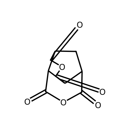 O=C1OC(=O)C2C3CC1C2C(=O)OC3=O